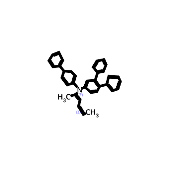 C/C=C\C=C(/C)N(C1=CCC(c2ccccc2)C=C1)c1ccc(-c2ccccc2)c(-c2ccccc2)c1